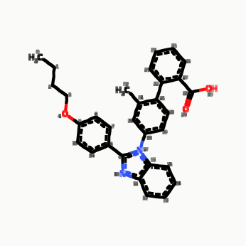 CCCCOc1ccc(-c2nc3ccccc3n2-c2ccc(-c3ccccc3C(=O)O)c(C)c2)cc1